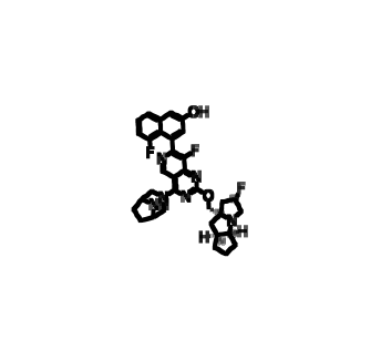 Oc1cc(-c2ncc3c(N4CC5CCC(C4)N5)nc(OC[C@]45C[C@@H](F)CN4[C@H]4CCC[C@H]4C5)nc3c2F)c2c(F)cccc2c1